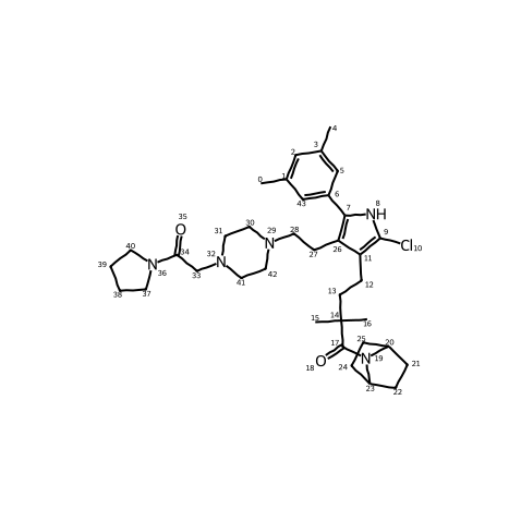 Cc1cc(C)cc(-c2[nH]c(Cl)c(CCC(C)(C)C(=O)N3C4CCC3CC4)c2CCN2CCN(CC(=O)N3CCCC3)CC2)c1